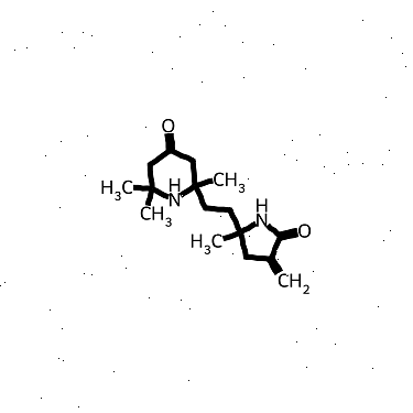 C=C1CC(C)(CCC2(C)CC(=O)CC(C)(C)N2)NC1=O